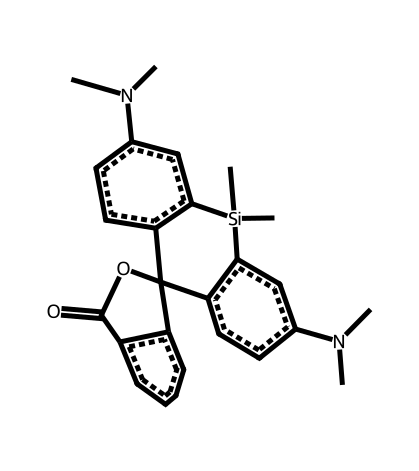 CN(C)c1ccc2c(c1)[Si](C)(C)c1cc(N(C)C)ccc1C21OC(=O)c2ccccc21